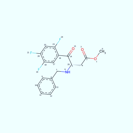 COC(=O)C[C@H](NCc1ccccc1)C(=O)c1cc(F)c(F)cc1F